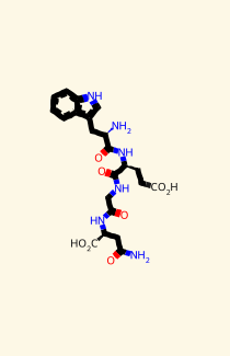 NC(=O)C[C@H](NC(=O)CNC(=O)[C@H](CCC(=O)O)NC(=O)[C@@H](N)Cc1c[nH]c2ccccc12)C(=O)O